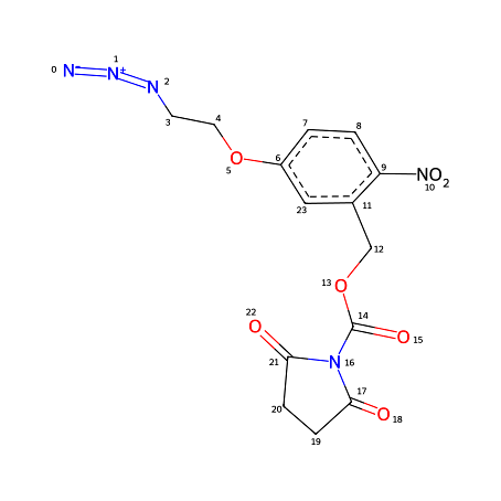 [N-]=[N+]=NCCOc1ccc([N+](=O)[O-])c(COC(=O)N2C(=O)CCC2=O)c1